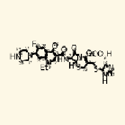 CCn1cc(C(=O)NC2C(=O)N3C(OC(=O)O)=C(CSc4cnn[nH]4)CS[C@@H]23)c(=O)c2cc(F)c(N3CCNCC3)cc21